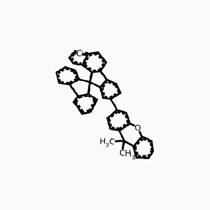 CC1(C)c2ccccc2Oc2cc(-c3ccc4c(c3)C3(c5ccccc5-c5ccccc53)c3c-4ccc4ccccc34)ccc21